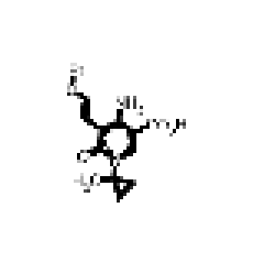 CCOC=Cc1c(N)c(C(=O)O)cn(C2(C)CC2)c1=O